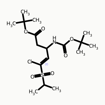 CC(C)S(=O)(=O)/C(Cl)=C/C(CC(=O)OC(C)(C)C)NC(=O)OC(C)(C)C